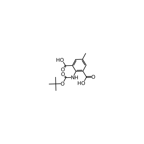 Cc1cc(C(=O)O)c(NC(=O)OC(C)(C)C)c(C(=O)O)c1